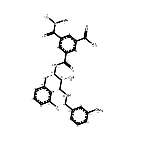 CCCN(CCC)C(=O)c1cc(C(N)=O)cc(C(=O)N[C@@H](Cc2cccc(Br)c2)[C@H](O)CNCc2cccc(OC)c2)c1